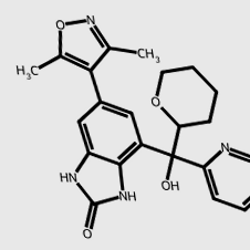 Cc1noc(C)c1-c1cc(C(O)(c2ccccn2)C2CCCCO2)c2[nH]c(=O)[nH]c2c1